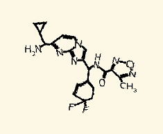 Cc1nonc1C(=O)NC(c1cn2ccc(C(N)C3CC3)nc2n1)C1CCC(F)(F)CC1